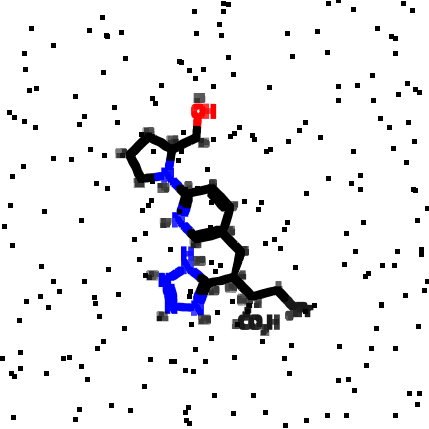 CC(C)C[C@H](C(=O)O)[C@H](Cc1ccc(N2CCCC2CO)nc1)c1nnn[nH]1